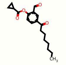 CCCCCCCC(=O)c1ccc(OC(=O)C2CC2)c(C=O)c1